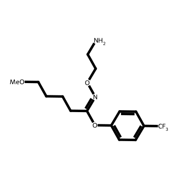 COCCCCC(=NOCCN)Oc1ccc(C(F)(F)F)cc1